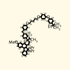 C=C(C)C1(c2ccc(Cc3ccc(OCCCCCOc4ccc(Oc5ccc(C(C)(C)CC)cc5)cc4)cc3)cc2)C=Cc2c3c(c4ccc(OC)cc4c2O1)-c1ccccc1C3(CCC)CCC